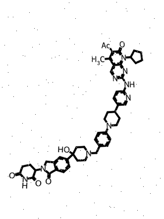 CC(=O)c1c(C)c2cnc(Nc3ccc(C4CCN(c5ccc(CN6CCC(O)(c7ccc8c(c7)CN(C7CCC(=O)NC7=O)C8=O)CC6)cc5)CC4)cn3)nc2n(C2CCCC2)c1=O